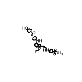 NS(=O)(=O)c1ccc(NCC#Cc2cc3c(NC4CCN(CC(=O)N5CCC(O)CC5)CC4)cccc3n2CC(F)(F)F)cc1